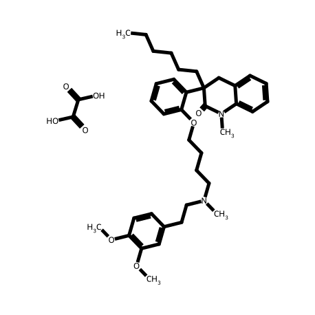 CCCCCCC1(c2ccccc2OCCCCN(C)CCc2ccc(OC)c(OC)c2)Cc2ccccc2N(C)C1=O.O=C(O)C(=O)O